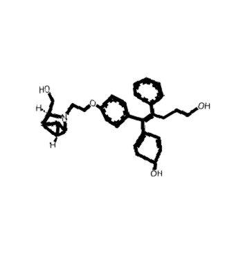 OCCC/C(=C(\C1=CCC(O)C=C1)c1ccc(OCCN2C3C4C([C@H]43)[C@H]2CO)cc1)c1ccccc1